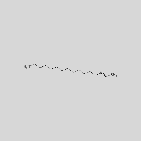 CC=NCCCCCCCCCCCCN